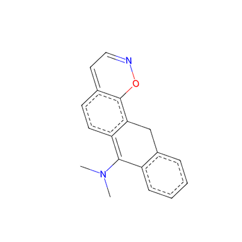 CN(C)C1=c2ccc3c(c2Cc2ccccc21)ON=CC=3